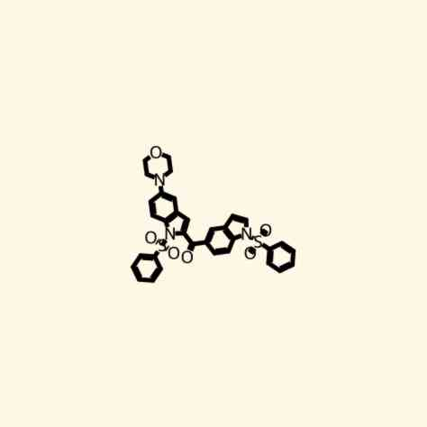 O=C(c1ccc2c(ccn2S(=O)(=O)c2ccccc2)c1)c1cc2cc(N3CCOCC3)ccc2n1S(=O)(=O)c1ccccc1